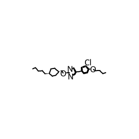 CCCCC[C@H]1CC[C@H](COc2ncc(-c3ccc(OCCCC)c(Cl)c3)cn2)CC1